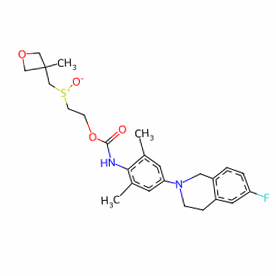 Cc1cc(N2CCc3cc(F)ccc3C2)cc(C)c1NC(=O)OCC[S+]([O-])CC1(C)COC1